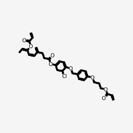 C=CC(=O)OCCCOc1ccc(COC2=CC=C(OC(=O)CCC(=C)/C=C\C(=C/C)OC(=O)C=C)CC2Cl)cc1